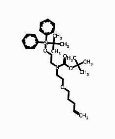 C=CCCCOCCN(CCO[Si](c1ccccc1)(c1ccccc1)C(C)(C)C)C(=O)OC(C)(C)C